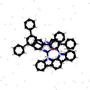 c1ccc(-c2cc(C3=NC(c4ccccc4)NC(n4c5ccccc5c5ccc6c7ccccc7n(-c7cc(-c8ccccc8)ccc7-c7ccccc7)c6c54)=N3)cc(-c3ccccc3)c2)cc1